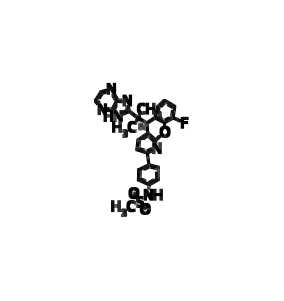 CC(C)(c1nc2nccnc2[nH]1)[C@@H]1c2ccc(-c3ccc(NS(C)(=O)=O)cc3)nc2Oc2c(F)cccc21